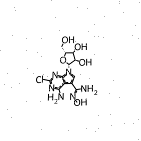 NC(=NO)c1cn([C@@H]2O[C@H](CO)[C@@H](O)[C@H]2O)c2nc(Cl)nc(N)c12